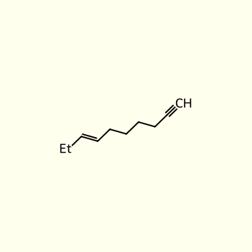 C#CCCCC/C=C/CC